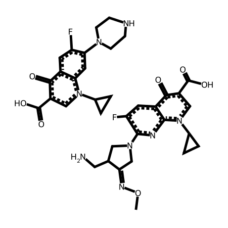 CO/N=C1\CN(c2nc3c(cc2F)c(=O)c(C(=O)O)cn3C2CC2)CC1CN.O=C(O)c1cn(C2CC2)c2cc(N3CCNCC3)c(F)cc2c1=O